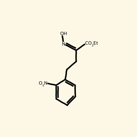 CCOC(=O)C(CCc1ccccc1[N+](=O)[O-])=NO